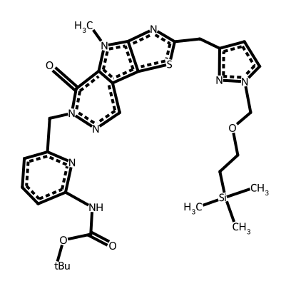 Cn1c2nc(Cc3ccn(COCC[Si](C)(C)C)n3)sc2c2cnn(Cc3cccc(NC(=O)OC(C)(C)C)n3)c(=O)c21